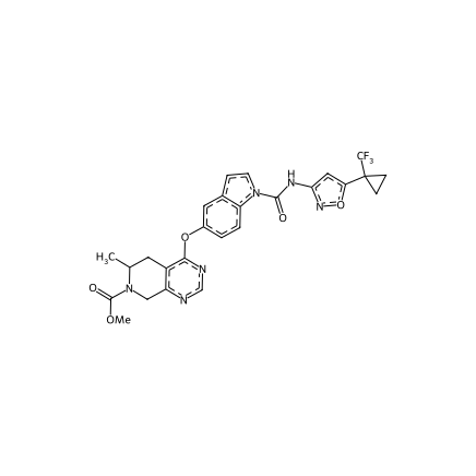 COC(=O)N1Cc2ncnc(Oc3ccc4c(ccn4C(=O)Nc4cc(C5(C(F)(F)F)CC5)on4)c3)c2CC1C